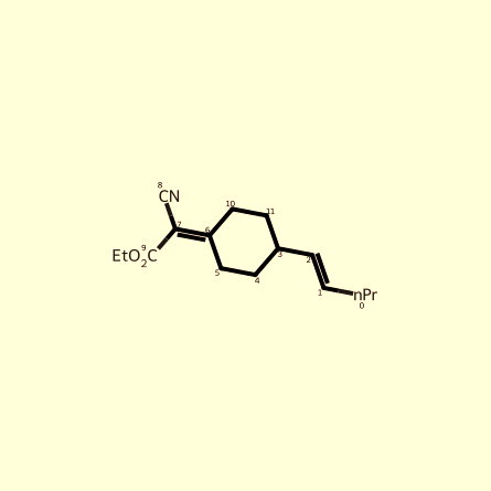 CCCC=CC1CCC(=C(C#N)C(=O)OCC)CC1